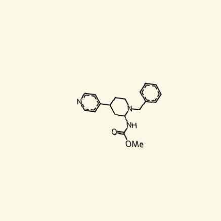 COC(=O)NC1CC(c2ccncc2)CCN1Cc1ccccc1